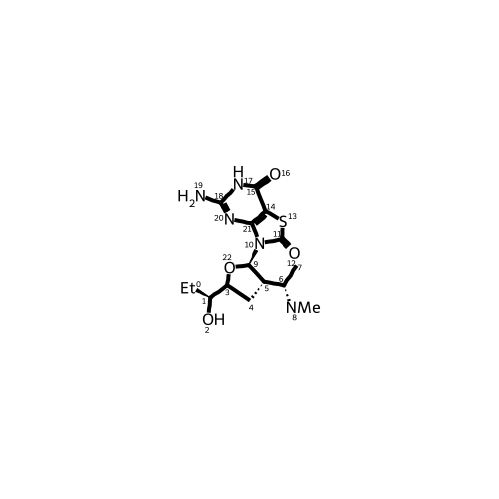 CC[C@H](O)C1C[C@@H]([C@H](C)NC)[C@H](n2c(=O)sc3c(=O)[nH]c(N)nc32)O1